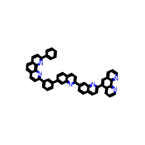 c1ccc(-c2ccc3ccc4ccc(-c5cccc(-c6ccc7ccc(-c8ccc9ccc(-c%10cc%11cccnc%11c%11ncccc%10%11)nc9c8)nc7c6)c5)nc4c3n2)cc1